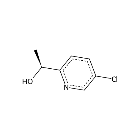 C[C@H](O)c1ccc(Cl)cn1